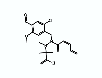 C=C/C=C\C(=C)N(Cc1cc(OC)c(C=O)cc1Cl)N(C)C(C)(C)C(=C)Cl